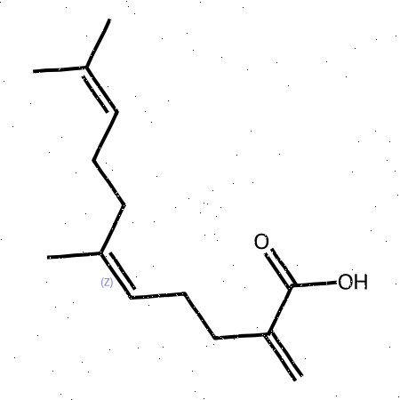 C=C(CC/C=C(/C)CCC=C(C)C)C(=O)O